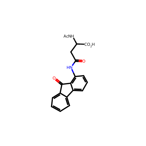 CC(=O)NC(CC(=O)Nc1cccc2c1C(=O)c1ccccc1-2)C(=O)O